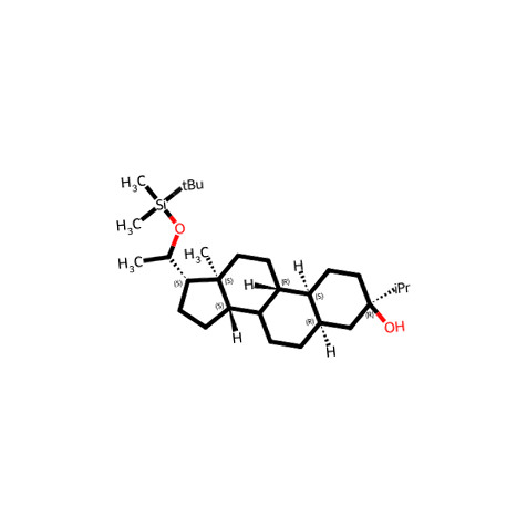 CC(O[Si](C)(C)C(C)(C)C)[C@H]1CC[C@H]2C3CC[C@@H]4C[C@@](O)(C(C)C)CC[C@@H]4[C@H]3CC[C@]12C